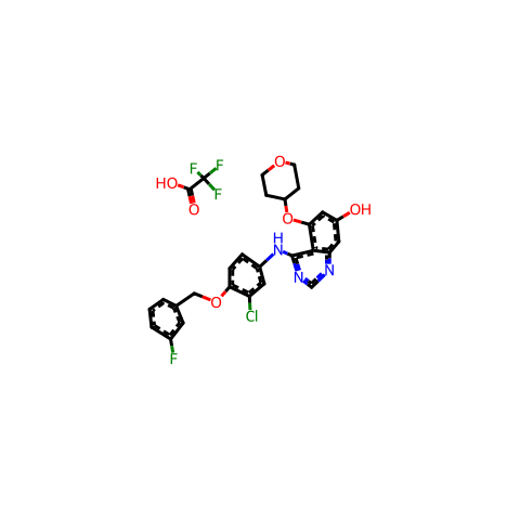 O=C(O)C(F)(F)F.Oc1cc(OC2CCOCC2)c2c(Nc3ccc(OCc4cccc(F)c4)c(Cl)c3)ncnc2c1